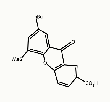 CCCCc1cc(SC)c2oc3ccc(C(=O)O)cc3c(=O)c2c1